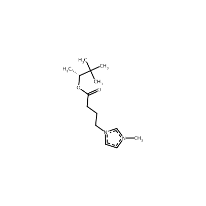 C[C@@H](OC(=O)CCC[n+]1ccn(C)c1)C(C)(C)C